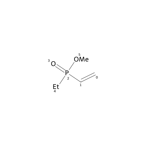 C=CP(=O)(CC)OC